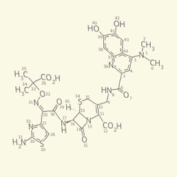 CN(C)c1cc(C(=O)NCC2=C(C(=O)O)N3C(=O)[C@@H](NC(=O)/C(=N\OC(C)(C)C(=O)O)c4csc(N)n4)[C@H]3SC2)nc2cc(O)c(O)cc12